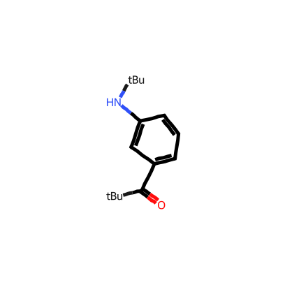 CC(C)(C)Nc1cccc(C(=O)C(C)(C)C)c1